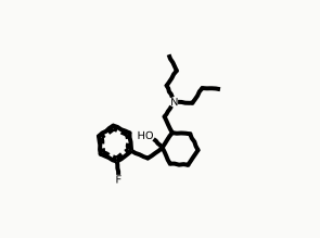 CCCN(CCC)CC1CCCCC1(O)Cc1ccccc1F